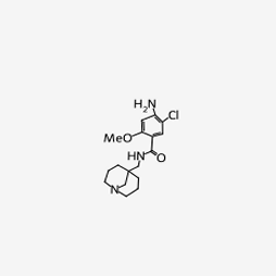 COc1cc(N)c(Cl)cc1C(=O)NCC12CCCN(CCC1)C2